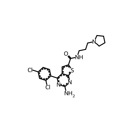 Nc1nc(-c2ccc(Cl)cc2Cl)c2cc(C(=O)NCCCN3CCCC3)sc2n1